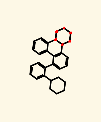 [c]1ccc(-c2ccccc2C2CCCCC2)c(-c2ccccc2C2CCCCC2)c1C1CCCCC1